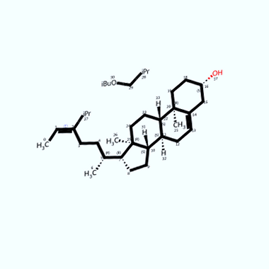 C/C=C(\CC[C@@H](C)[C@H]1CC[C@H]2[C@@H]3CC=C4C[C@@H](O)CC[C@]4(C)[C@H]3CC[C@]12C)C(C)C.CC(C)COCC(C)C